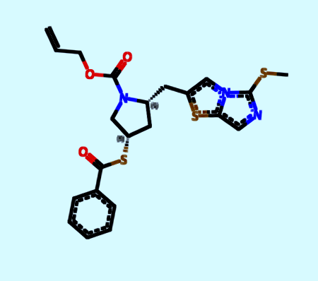 C=CCOC(=O)N1C[C@@H](SC(=O)c2ccccc2)C[C@H]1Cc1cn2c(SC)ncc2s1